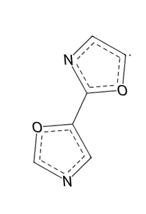 [c]1cnc(-c2cnco2)o1